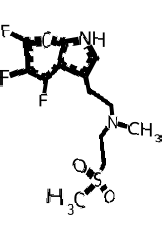 CN(CCc1c[nH]c2cc(F)c(F)c(F)c12)CCS(C)(=O)=O